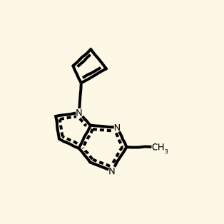 Cc1ncc2ccn(C3=CC=C3)c2n1